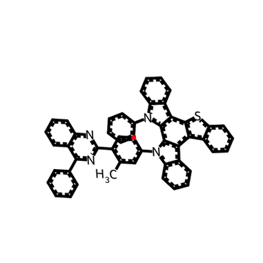 Cc1cc(-n2c3ccccc3c3c4c5ccccc5sc4c4c5ccccc5n(-c5ccccc5)c4c32)ccc1-c1nc(-c2ccccc2)c2ccccc2n1